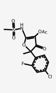 CC(=O)OC1=C(NS(C)(=O)=O)OC(C)(c2ccc(Cl)cc2F)C1=O